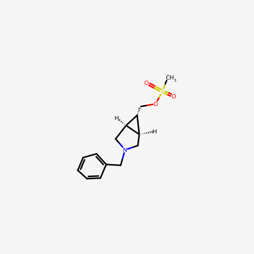 CS(=O)(=O)OC[C@@H]1[C@H]2CN(Cc3ccccc3)C[C@@H]12